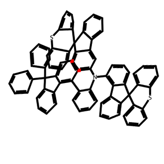 c1ccc(C2(c3ccccc3)c3ccccc3-c3c(-c4ccccc4N(c4ccc5c(c4)-c4ccccc4C54c5ccccc5Sc5ccccc54)c4cccc5c4-c4ccccc4C54c5ccccc5Sc5ccccc54)cccc32)cc1